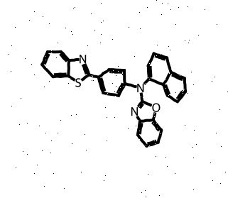 c1ccc2c(N(c3ccc(-c4nc5ccccc5s4)cc3)c3nc4ccccc4o3)cccc2c1